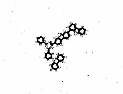 c1ccc(-c2nc(-c3cccc(-n4c5ccccc5c5ccccc54)c3)nc(-c3ccc4c(c3)oc3cc(-c5cccc6c5oc5ccccc56)ccc34)n2)cc1